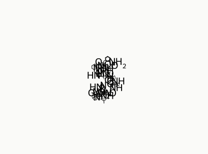 CC(C)C[C@H](NC(=O)[C@H](Cc1c[nH]cn1)N(C)C(=O)CNC(=O)[C@@H](NC(=O)[C@H](C)NC(=O)[C@H](Cc1c[nH]c2ccccc12)NC(=O)[C@H](CCC(N)=O)NC(=O)[C@@H](Cc1ccccc1)NC(=O)[C@@H]1CCCCN1)C(C)(C)C)C(=O)N1CCC[C@H]1C(N)=O